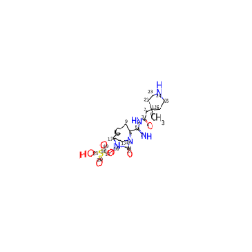 CC1(CC(=O)NC(=N)C2CCC3CN2C(=O)N3OS(=O)(=O)O)CCNCC1